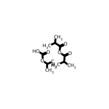 CC(C)C(=O)OC(=O)C(C)C.CC(C)OC(=O)O